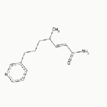 CC(C=CC(N)=O)CCCc1cccnc1